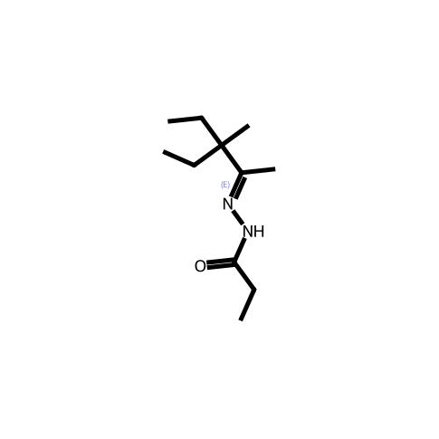 CCC(=O)N/N=C(\C)C(C)(CC)CC